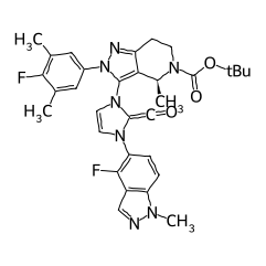 Cc1cc(-n2nc3c(c2N2C=CN(c4ccc5c(cnn5C)c4F)C2=C=O)[C@H](C)N(C(=O)OC(C)(C)C)CC3)cc(C)c1F